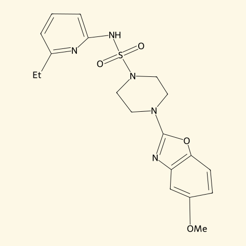 CCc1cccc(NS(=O)(=O)N2CCN(c3nc4cc(OC)ccc4o3)CC2)n1